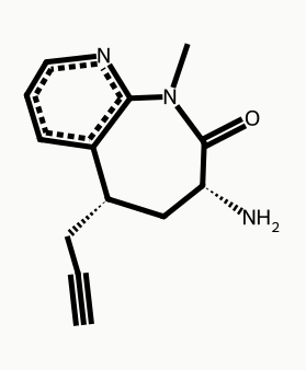 C#CC[C@H]1C[C@@H](N)C(=O)N(C)c2ncccc21